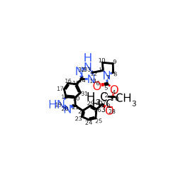 CC(C)(C)OC(=O)N1CCCC1c1nc(-c2ccc3[nH]nc(-c4cccc(C=O)c4)c3c2)n[nH]1